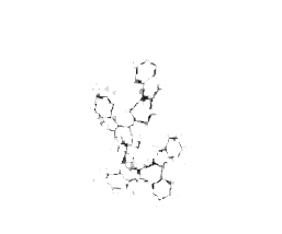 c1ccc2c(c1)oc1ccc(-c3nc(-n4c5ccccc5c5c6ccccc6c6c7ccccc7sc6c54)nc4sc5ccccc5c34)cc12